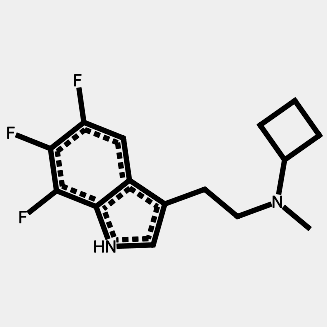 CN(CCc1c[nH]c2c(F)c(F)c(F)cc12)C1CCC1